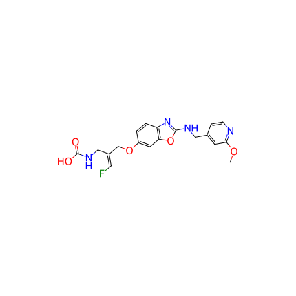 COc1cc(CNc2nc3ccc(OCC(=CF)CNC(=O)O)cc3o2)ccn1